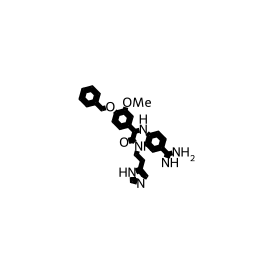 COc1cc(C(Nc2ccc(C(=N)N)cc2)C(=O)NCCc2cnc[nH]2)ccc1OCc1ccccc1